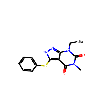 Cn1c(=O)c2c(Sc3ccccc3)[nH]nc2n(CC(C)(C)C)c1=O